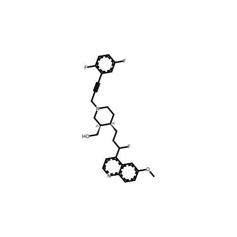 COc1ccc2nccc(C(F)CC[C@@H]3CCN(CC#Cc4cc(F)ccc4F)C[C@@H]3CO)c2c1